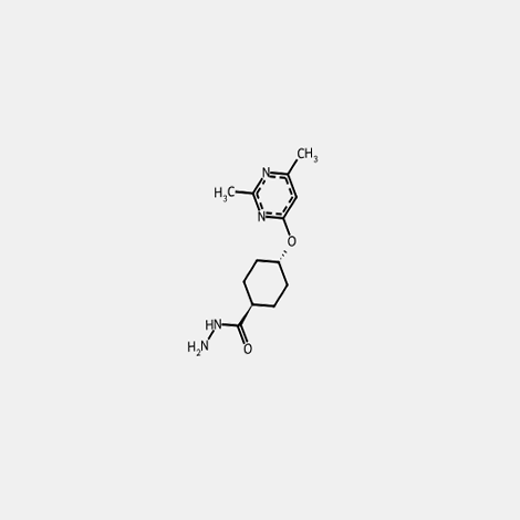 Cc1cc(O[C@H]2CC[C@H](C(=O)NN)CC2)nc(C)n1